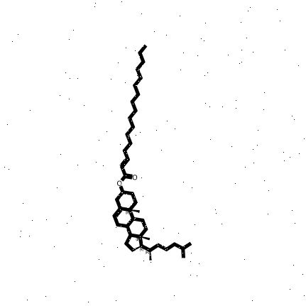 CCCCCCCCCCCCCCC=CC(=O)OC1CC[C@@]2(C)C(=CCC3C2CC[C@@]2(C)C3CC[C@@H]2[C@H](C)CCCC(C)C)C1